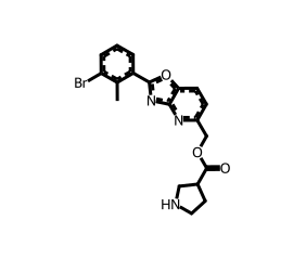 Cc1c(Br)cccc1-c1nc2nc(COC(=O)C3CCNC3)ccc2o1